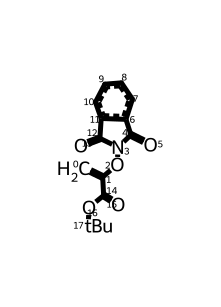 C=C(ON1C(=O)c2ccccc2C1=O)C(=O)OC(C)(C)C